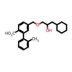 Cc1ccccc1-c1cc(COCC(O)CC2CCCCC2)ccc1C(=O)O